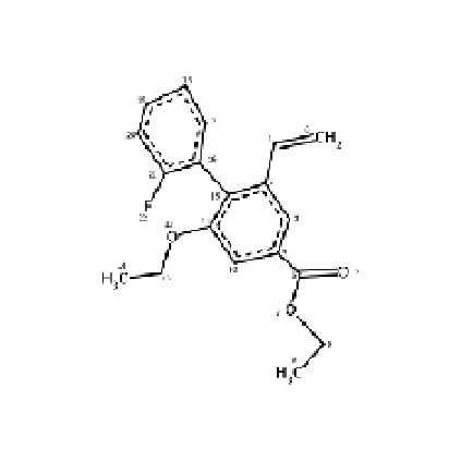 C=Cc1cc(C(=O)OCC)cc(OCC)c1-c1ccccc1F